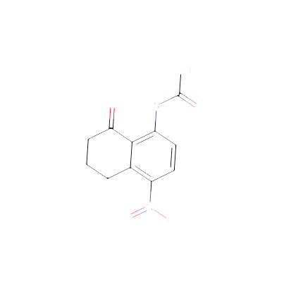 CC(=O)Nc1ccc([N+](=O)[O-])c2c1C(=O)CCC2